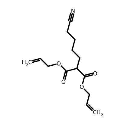 C=CCOC(=O)C(CCCCC#N)C(=O)OCC=C